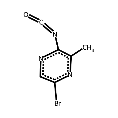 Cc1nc(Br)cnc1N=C=O